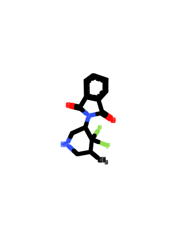 CC1CNCC(N2C(=O)c3ccccc3C2=O)C1(F)F